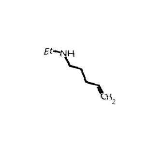 C=CCCCNCC